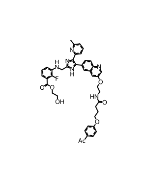 CC(=O)c1ccc(OCCCC(=O)NCCOc2cnc3ccc(-c4[nH]c(CNc5cccc(C(=O)OCCO)c5F)nc4-c4cccc(C)n4)cc3c2)cc1